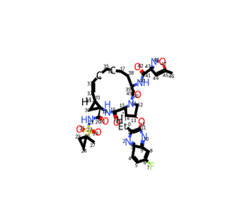 CCc1nc2ccc(F)cc2nc1O[C@@H]1C[C@H]2C(=O)N[C@]3(C(=O)NS(=O)(=O)C4(C)CC4)C[C@H]3/C=C\CCCCCC(NC(=O)c3cc(C)on3)C(=O)N2C1